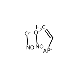 C=[CH][Al+2].O=N[O-].O=N[O-]